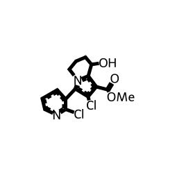 COC(=O)c1c(Cl)c(-c2cccnc2Cl)n2c1C(O)CCC2